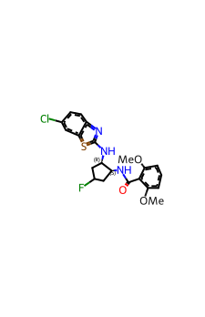 COc1cccc(OC)c1C(=O)N[C@H]1CC(F)C[C@H]1Nc1nc2ccc(Cl)cc2s1